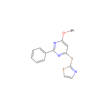 CC(C)Oc1cc(Sc2nccs2)nc(-c2ccccc2)n1